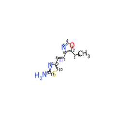 CCc1ocnc1/C=C/c1csc(N)n1